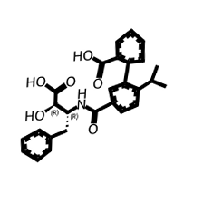 CC(C)c1ccc(C(=O)N[C@H](Cc2ccccc2)[C@@H](O)C(=O)O)cc1-c1ccccc1C(=O)O